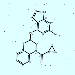 Nc1nc(NC2Cc3ccccc3N(C(=O)C3CC3)C2)c2cn[nH]c2n1